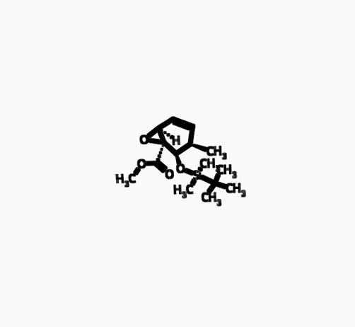 COC(=O)[C@]12O[C@H]1C=C[C@@H](C)[C@H]2O[Si](C)(C)C(C)(C)C